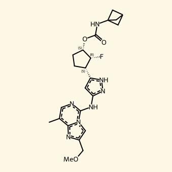 COCc1cn2c(Nc3cc([C@@H]4CC[C@H](OC(=O)NC56CC(C5)C6)[C@@H]4F)[nH]n3)ncc(C)c2n1